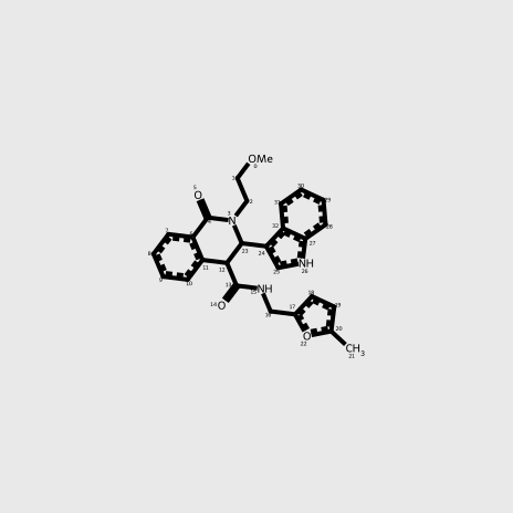 COCCN1C(=O)c2ccccc2C(C(=O)NCc2ccc(C)o2)C1c1c[nH]c2ccccc12